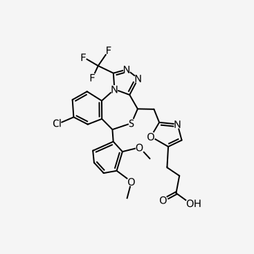 COc1cccc(C2SC(Cc3ncc(CCC(=O)O)o3)c3nnc(C(F)(F)F)n3-c3ccc(Cl)cc32)c1OC